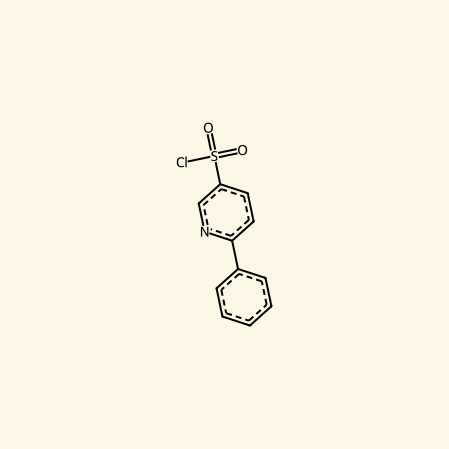 O=S(=O)(Cl)c1ccc(-c2ccccc2)nc1